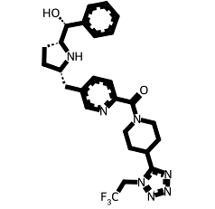 O=C(c1ccc(C[C@@H]2CC[C@H]([C@H](O)c3ccccc3)N2)cn1)N1CCC(c2nnnn2CC(F)(F)F)CC1